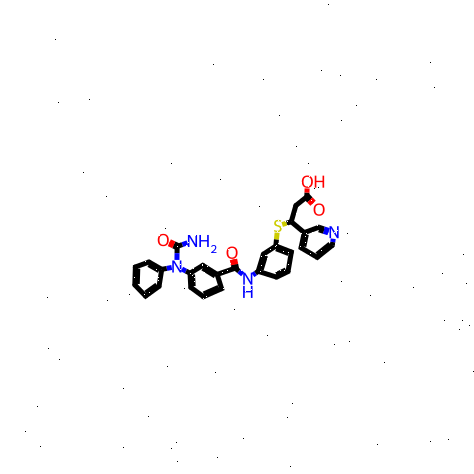 NC(=O)N(c1ccccc1)c1cccc(C(=O)Nc2cccc(SC(CC(=O)O)c3cccnc3)c2)c1